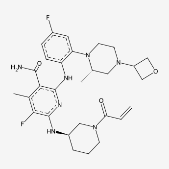 C=CC(=O)N1CCC[C@@H](Nc2nc(Nc3ccc(F)cc3N3CCN(C4COC4)C[C@@H]3C)c(C(N)=O)c(C)c2F)C1